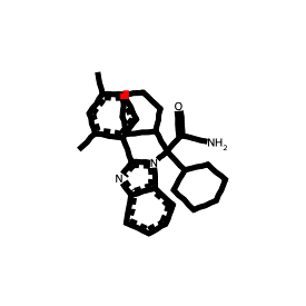 Cc1ccc(-c2nc3ccccc3n2C(C(N)=O)(C2CCCCC2)C2CCCCC2)c(C)c1